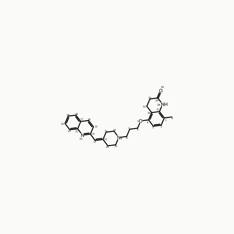 Cc1ccc(OCCCN2CCC(=Cc3ccc4ccccc4n3)CC2)c2c1NC(=O)CC2